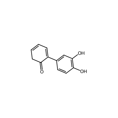 O=C1CC=CC=C1c1ccc(O)c(O)c1